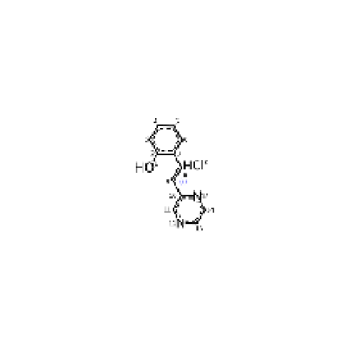 Cl.Oc1ccccc1/C=C/c1cnccn1